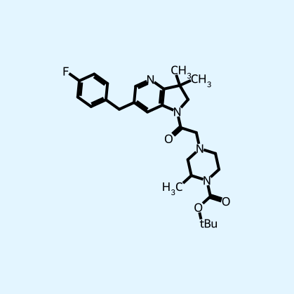 CC1CN(CC(=O)N2CC(C)(C)c3ncc(Cc4ccc(F)cc4)cc32)CCN1C(=O)OC(C)(C)C